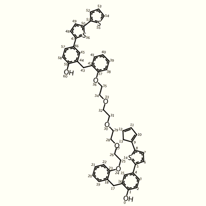 Oc1ccc(-c2ccc(C3=CC=CC3)s2)cc1Cc1ccccc1OCCOCCOCCOCCOc1ccccc1Cc1cc(-c2ccc(-c3cccs3)s2)ccc1O